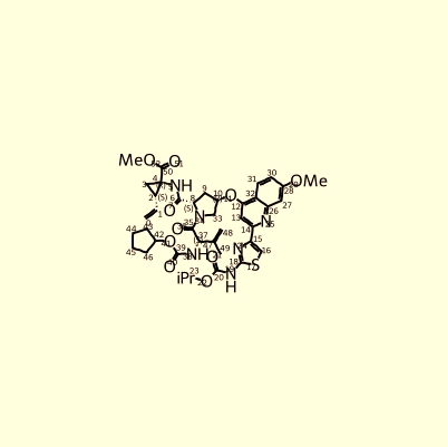 C=C[C@@H]1C[C@]1(NC(=O)[C@@H]1C[C@@H](Oc2cc(-c3csc(NC(=O)OC(C)C)n3)nc3cc(OC)ccc23)CN1C(=O)[C@@H](NC(=O)OC1CCCC1)C(=C)C)C(=O)OC